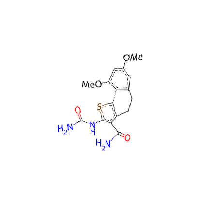 COc1cc2c(c(OC)c1)-c1sc(NC(N)=O)c(C(N)=O)c1CC2